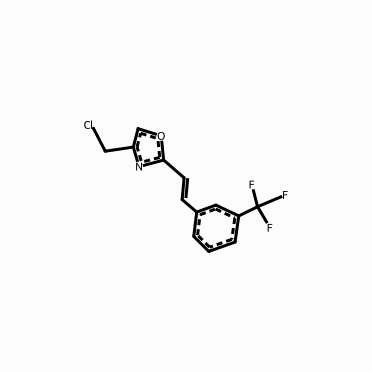 FC(F)(F)c1cccc(/C=C/c2nc(CCl)co2)c1